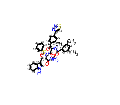 Cc1cc(C)cc(C(=O)N(C)[C@@H](Cc2ccc(-c3csnn3)cc2)C(=O)N([C@@H](Cc2c[nH]c3ccccc23)C(N)=O)S(=O)(=O)c2ccccc2)c1